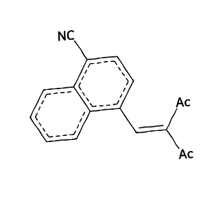 CC(=O)C(=Cc1ccc(C#N)c2ccccc12)C(C)=O